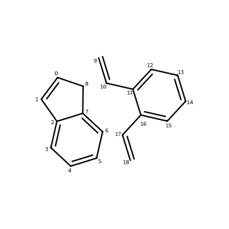 C1=Cc2ccccc2C1.C=Cc1ccccc1C=C